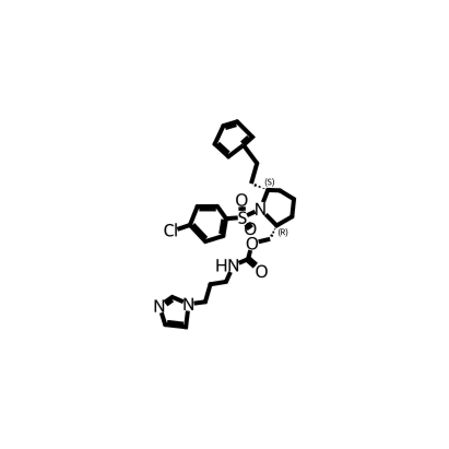 O=C(NCCCn1ccnc1)OC[C@H]1CCC[C@@H](CCc2ccccc2)N1S(=O)(=O)c1ccc(Cl)cc1